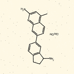 Cc1cc(N)nc2cc(-c3ccc4c(c3)C(N)CC4)ccc12.Cl.Cl